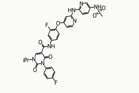 CC(C)n1cc(C(=O)Nc2ccc(Oc3ccnc(Nc4ccc(NS(C)(=O)=O)cn4)c3)c(F)c2)c(=O)n(-c2ccc(F)cc2)c1=O